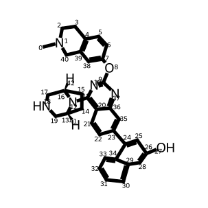 CN1CCc2ccc(Oc3nc(N4[C@@H]5CC[C@H]4CNC5)c4ccc(-c5cc(O)cc6ccccc56)cc4n3)cc2C1